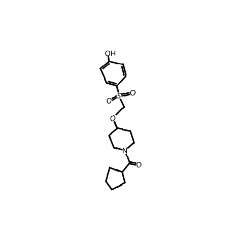 O=C(C1CCCC1)N1CCC(OCS(=O)(=O)c2ccc(O)cc2)CC1